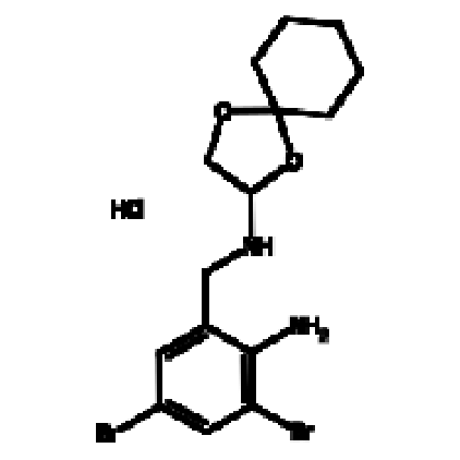 Cl.Nc1c(Br)cc(Br)cc1CNC1COC2(CCCCC2)O1